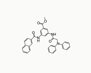 COC(=O)c1cc(NC(=O)CN(c2ccccc2)c2ccccc2)cc(NC(=O)c2ccc3ccccc3c2)c1